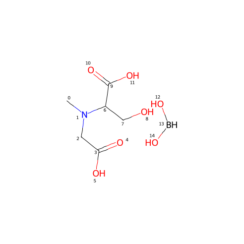 CN(CC(=O)O)C(CO)C(=O)O.OBO